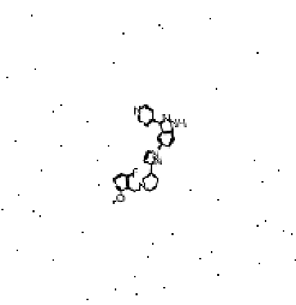 COc1cccc(F)c1CN1CCCC(c2ccn(-c3ccc4[nH]nc(-c5ccncc5)c4c3)n2)C1